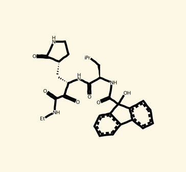 CCNC(=O)C(=O)[C@H](C[C@H]1CCNC1=O)NC(=O)[C@@H](CC(C)C)NC(=O)C1(O)c2ccccc2-c2ccccc21